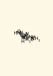 CN(C)CCNc1cc(F)cc(-c2cncc3[nH]c(-c4n[nH]c5ccc(-c6cncc(NC(=O)C7CCC7)c6)cc45)nc23)c1